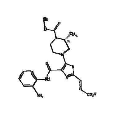 C[C@@H]1CN(c2sc(C=CC(=O)O)nc2C(=O)Nc2ccccc2N)CCN1C(=O)OC(C)(C)C